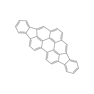 c1ccc2c(c1)c1ccc3c4ccc5c6ccccc6c6cc7ccc8cc2c1c3c8c7c4c56